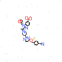 COC(=O)c1ccc2nc([C@H](C)N3CCC(c4nccc(OCc5ccc(C#N)cc5F)n4)CC3)n(C[C@@H]3CCO3)c2c1